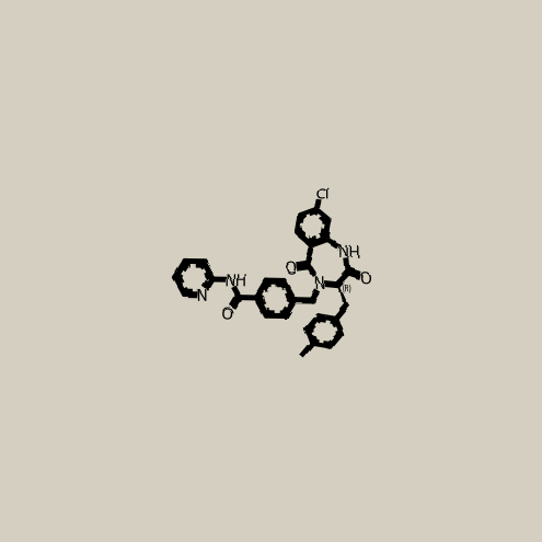 Cc1ccc(C[C@@H]2C(=O)Nc3cc(Cl)ccc3C(=O)N2Cc2ccc(C(=O)Nc3ccccn3)cc2)cc1